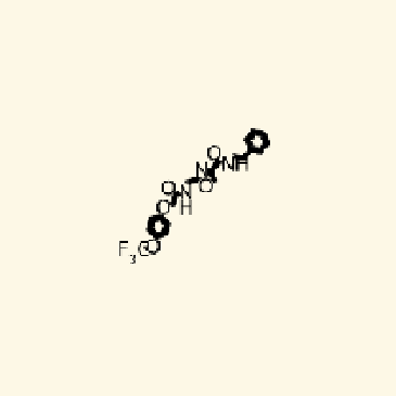 O=C(COc1ccc(OC(F)(F)F)cc1)NCc1nc(C(=O)NCCc2ccccc2)co1